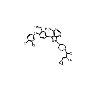 COc1cc(-c2nn(C3CCN(C(=O)C(C#N)=CC4CC4)CC3)c3ncnc(N)c23)ccc1Oc1ccc(Cl)c(Cl)c1